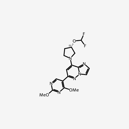 COc1ncc(-c2cc(N3CC[C@H](OC(F)F)C3)c3nccn3n2)c(OC)n1